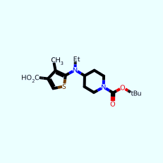 CCN(c1scc(C(=O)O)c1C)C1CCN(C(=O)OC(C)(C)C)CC1